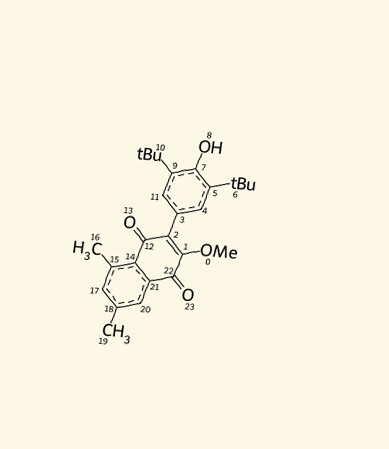 COC1=C(c2cc(C(C)(C)C)c(O)c(C(C)(C)C)c2)C(=O)c2c(C)cc(C)cc2C1=O